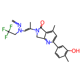 C=NN(/C=C(\C)N1Cc2nc(-c3ccc(C)c(O)c3)cc(C)c2C1=O)CC(F)(F)F